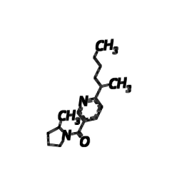 CCCCC(C)c1ccc(C(=O)N2CCCC2C)cn1